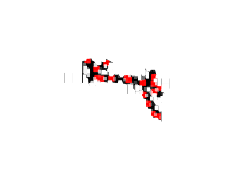 CN1CCN(C2CCN(c3ccc(Nc4nc(NC5CCC6(CC5)COC6)c(-c5ccccn5)nc4C(=O)NN4CC5(CCN(C6CCN(c7ccc(Nc8nc(NC9CCOC%10(CC%10)C9)c(-c9ccccn9)nc8C(N)=O)cc7)CC6)CC5)C4)cc3)CC2)CC1